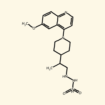 COc1ccc2nccc(N3CCC(C(C)CNN[SH](=O)=O)CC3)c2c1